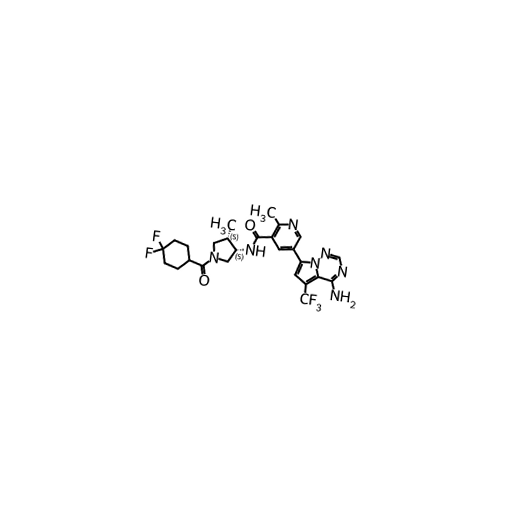 Cc1ncc(-c2cc(C(F)(F)F)c3c(N)ncnn23)cc1C(=O)N[C@@H]1CN(C(=O)C2CCC(F)(F)CC2)C[C@@H]1C